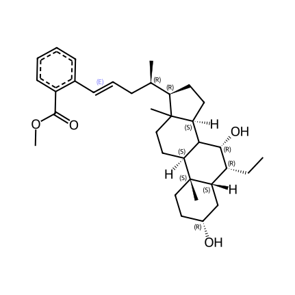 CC[C@H]1[C@@H](O)C2[C@@H]3CC[C@H]([C@H](C)C/C=C/c4ccccc4C(=O)OC)C3(C)CC[C@@H]2[C@@]2(C)CC[C@@H](O)C[C@@H]12